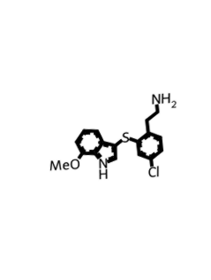 COc1cccc2c(Sc3cc(Cl)ccc3CCN)c[nH]c12